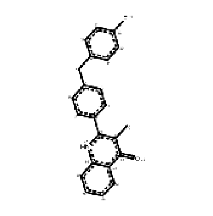 Cc1c(-c2ccc(Cc3ccc(F)cc3)cc2)[nH]c2ccccc2c1=O